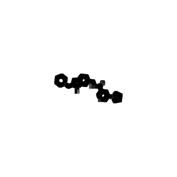 O=C(NCc1ccc2cc(CN3CCCCC3)[nH]c2c1)c1cncc(-n2cccc2)c1